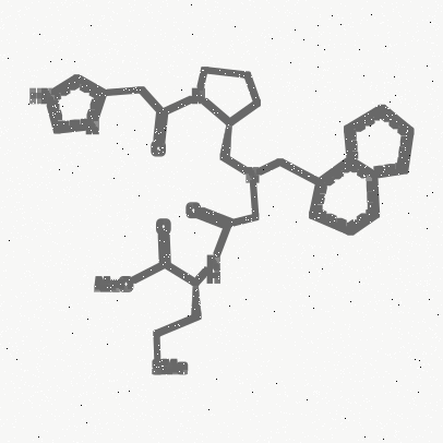 COC(=O)[C@H](CCSC)NC(=O)CN(Cc1cccc2ccccc12)C[C@@H]1CCCN1C(=O)Cc1c[nH]cn1